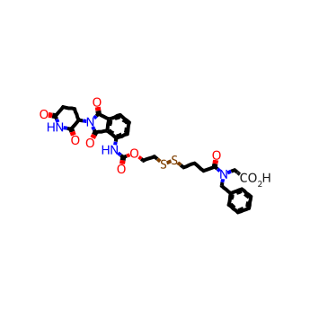 O=C(O)CN(Cc1ccccc1)C(=O)CCCSSCCOC(=O)Nc1cccc2c1C(=O)N(C1CCC(=O)NC1=O)C2=O